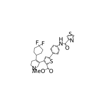 COC(=O)c1sc(-c2ccc(NC(=O)c3cscn3)cc2)cc1C1=C(C2CCC(F)(F)CC2)CCN(C)C1